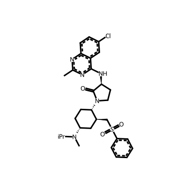 Cc1nc(N[C@H]2CCN([C@H]3CC[C@@H](N(C)C(C)C)C[C@@H]3CS(=O)(=O)c3ccccc3)C2=O)c2cc(Cl)ccc2n1